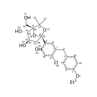 CCOc1ccc(Cc2cc([C@]34OC(C)(C)[C@](CO)(O3)[C@@H](O)[C@H](O)[C@H]4O)ccc2Cl)cc1